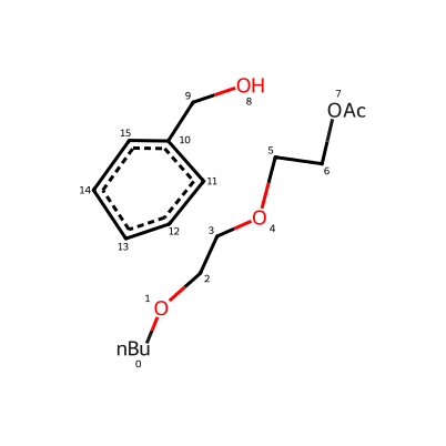 CCCCOCCOCCOC(C)=O.OCc1ccccc1